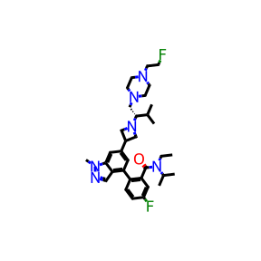 CCN(C(=O)c1cc(F)ccc1-c1cc(C2CN([C@H](CN3CCN(CCF)CC3)C(C)C)C2)cc2c1cnn2C)C(C)C